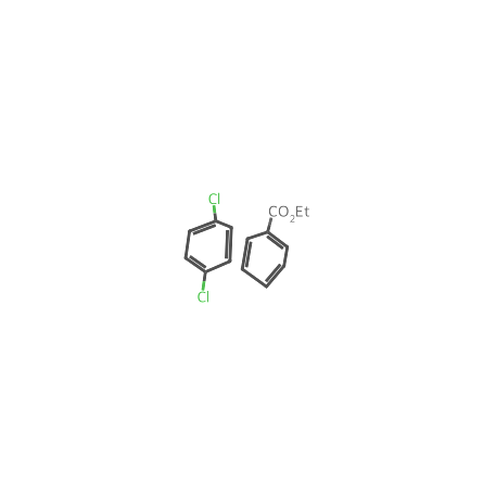 CCOC(=O)c1ccccc1.Clc1ccc(Cl)cc1